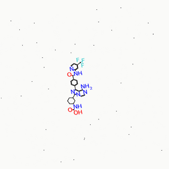 Nc1nccn2c(C3CCCC(NC(=O)O)C3)nc(-c3ccc(C(=O)Nc4cc(C(F)(F)F)ccn4)cc3)c12